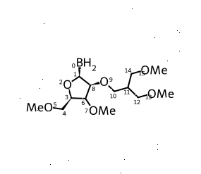 B[C@@H]1O[C@H](COC)C(OC)[C@@H]1OCC(COC)COC